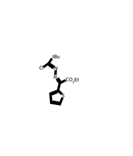 CCOC(=O)C(=NN=C(Cl)C(C)(C)C)c1cccs1